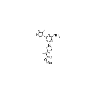 Cc1nn(C)cc1-c1cc(N2CC[C@@H](N(C)C(=O)OC(C)(C)C)C2)nc(N)n1